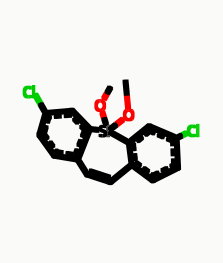 CO[Si]1(OC)c2cc(Cl)ccc2C=Cc2ccc(Cl)cc21